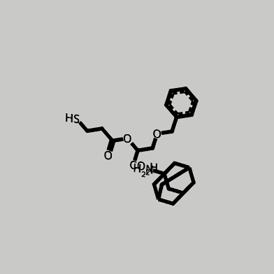 NC12CC3CC(CC(C3)C1)C2.O=C(CCS)OC(COCc1ccccc1)C(=O)O